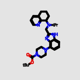 CC(C)N(Cc1nc2c(N3CCN(C(=O)OC(C)(C)C)CC3)cccc2[nH]1)C1CCCc2cccnc21